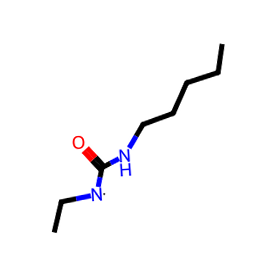 CCCCCNC(=O)[N]CC